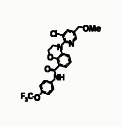 COCc1cnc(N2CCOc3c(C(=O)Nc4ccc(OC(F)(F)F)cc4)cccc32)c(Cl)c1